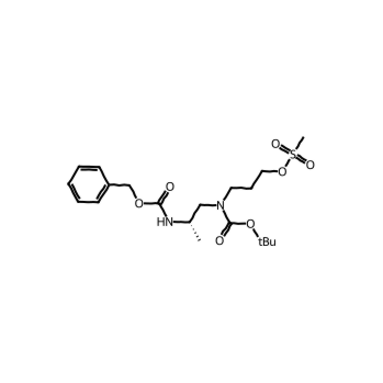 C[C@@H](CN(CCCOS(C)(=O)=O)C(=O)OC(C)(C)C)NC(=O)OCc1ccccc1